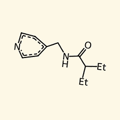 CCC(CC)C(=O)NCc1ccncc1